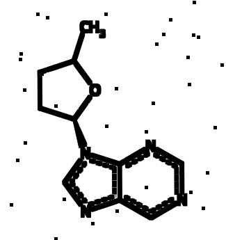 CC1CC[C@H](n2cnc3cncnc32)O1